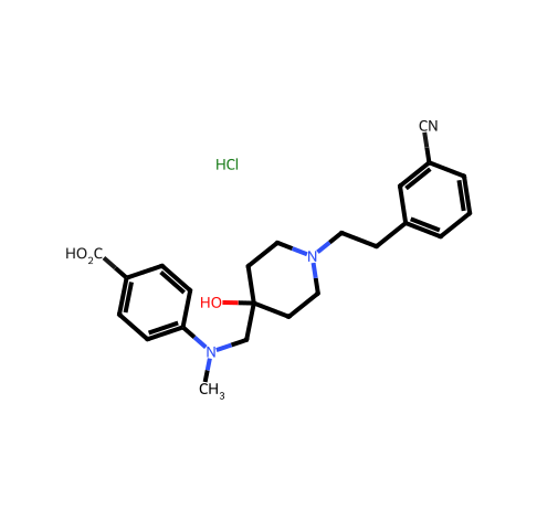 CN(CC1(O)CCN(CCc2cccc(C#N)c2)CC1)c1ccc(C(=O)O)cc1.Cl